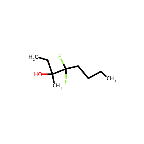 [CH2]CC(C)(O)C(F)(F)CCCC